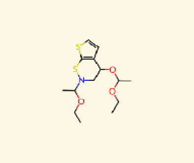 CCOC(C)OC1CN(C(C)OCC)Sc2sccc21